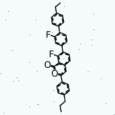 CCCc1ccc(-c2cc3ccc(-c4ccc(-c5ccc(CC)cc5)c(F)c4)c(F)c3c(=O)o2)cc1